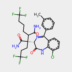 Cc1cccc(C2=N[C@@H](C(CCC(F)(F)F)(C(N)=O)C(CCCC(F)(F)F)C(N)=O)C(=O)Nc3c(Cl)cccc32)c1